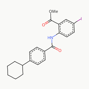 COC(=O)c1cc(I)ccc1NC(=O)c1ccc(C2CCCCC2)cc1